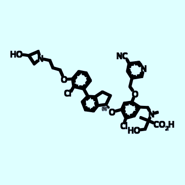 CN(Cc1cc(Cl)c(O[C@H]2CCc3c(-c4cccc(OCCCN5CC(O)C5)c4Cl)cccc32)cc1OCc1cncc(C#N)c1)C(C)(CO)C(=O)O